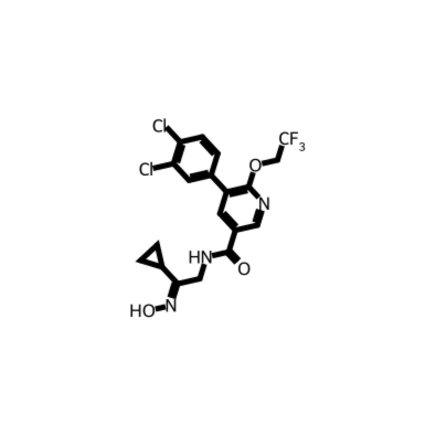 O=C(NC/C(=N/O)C1CC1)c1cnc(OCC(F)(F)F)c(-c2ccc(Cl)c(Cl)c2)c1